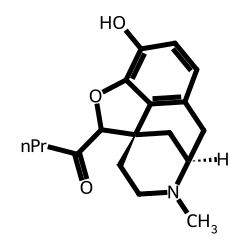 CCCC(=O)C1Oc2c(O)ccc3c2[C@@]12CCN(C)[C@H](C3)C2